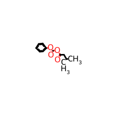 CC(C)CC(=O)OC(=O)Oc1ccccc1